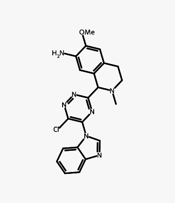 COc1cc2c(cc1N)C(c1nnc(Cl)c(-n3cnc4ccccc43)n1)N(C)CC2